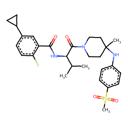 CC(C)[C@@H](NC(=O)c1cc(C2CC2)ccc1F)C(=O)N1CCC(C)(Nc2ccc(S(C)(=O)=O)cc2)CC1